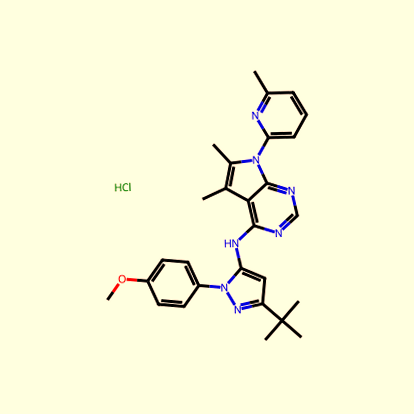 COc1ccc(-n2nc(C(C)(C)C)cc2Nc2ncnc3c2c(C)c(C)n3-c2cccc(C)n2)cc1.Cl